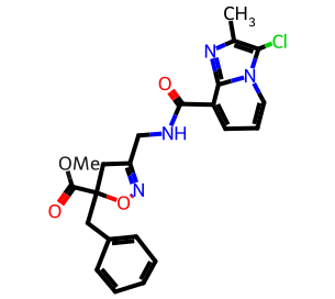 COC(=O)C1(Cc2ccccc2)CC(CNC(=O)c2cccn3c(Cl)c(C)nc23)=NO1